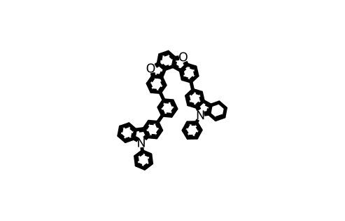 C1=Cc2c(c3cc(-c4ccc5oc6ccc7oc8ccc(-c9cccc(-c%10ccc%11c(c%10)c%10ccccc%10n%11-c%10ccccc%10)c9)cc8c7c6c5c4)ccc3n2-c2ccccc2)CC1